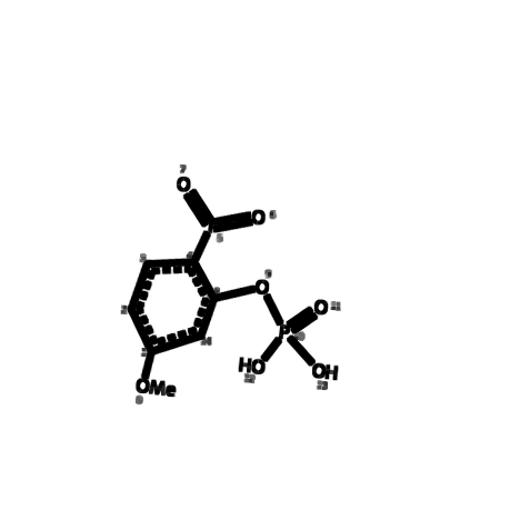 COc1ccc(I(=O)=O)c(OP(=O)(O)O)c1